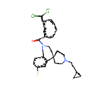 O=C(c1cccc(C(Cl)Cl)c1)N1CC2(CCN(CC3CC3)CC2)c2cc(F)ccc21